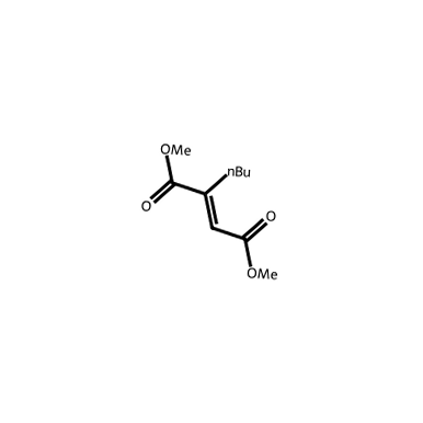 CCCC/C(=C\C(=O)OC)C(=O)OC